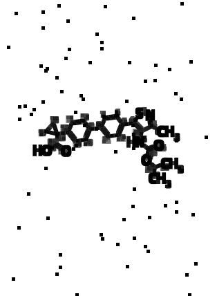 Cc1nsc(-c2ccc(-c3ccc(C4(C(=O)O)CC4)cc3)cc2)c1NC(=O)OC(C)C